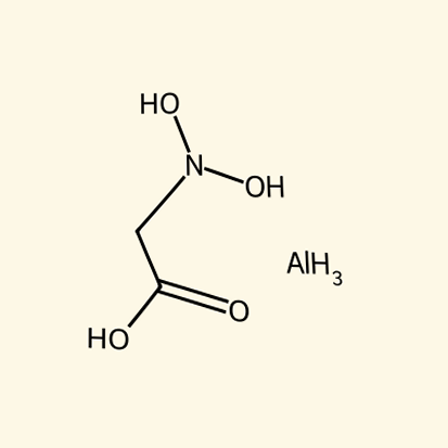 O=C(O)CN(O)O.[AlH3]